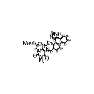 CCc1nc2c(c(=O)n(CC)c(=O)n2CC(=O)OC)n1Cc1ccc(-c2ccccc2-c2nnn[nH]2)cc1